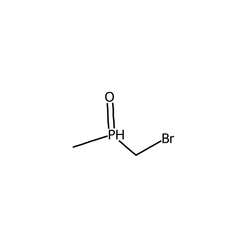 C[PH](=O)CBr